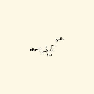 CCCCOOP(=O)(O)OCCOCC